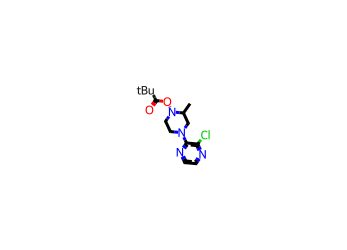 CC1CN(c2nccnc2Cl)CCN1OC(=O)C(C)(C)C